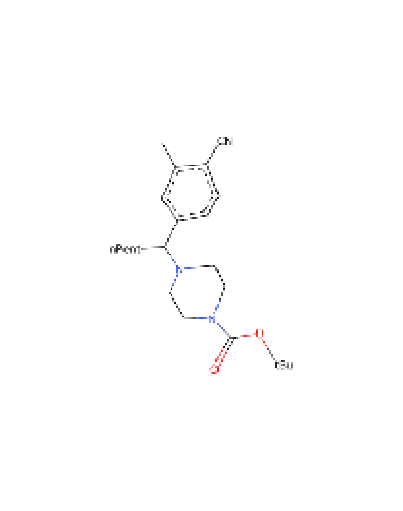 CCCCCC(c1ccc(C#N)c(C)c1)N1CCN(C(=O)OC(C)(C)C)CC1